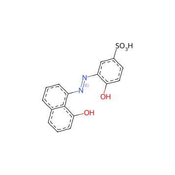 O=S(=O)(O)c1ccc(O)c(/N=N/c2cccc3cccc(O)c23)c1